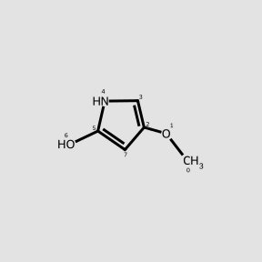 COc1c[nH]c(O)c1